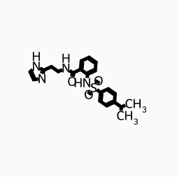 CC(C)c1ccc(S(=O)(=O)Nc2ccccc2C(=O)NCCc2ncc[nH]2)cc1